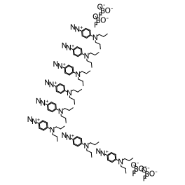 CCCN(CCC)c1ccc([N+]#N)cc1.CCCN(CCC)c1ccc([N+]#N)cc1.CCCN(CCC)c1ccc([N+]#N)cc1.CCCN(CCC)c1ccc([N+]#N)cc1.CCCN(CCC)c1ccc([N+]#N)cc1.CCCN(CCC)c1ccc([N+]#N)cc1.CCCN(CCC)c1ccc([N+]#N)cc1.CCCN(CCC)c1ccc([N+]#N)cc1.[O-]B([O-])F.[O-]B([O-])F.[O-]B([O-])F.[O-]B([O-])F